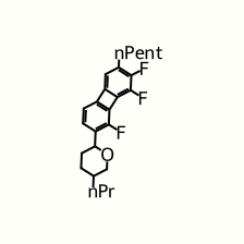 CCCCCc1cc2c(c(F)c1F)-c1c-2ccc(C2CCC(CCC)CO2)c1F